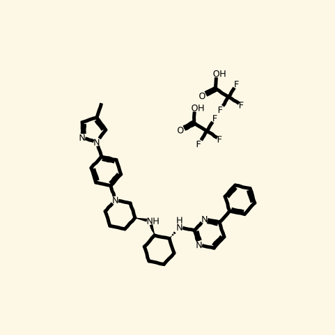 Cc1cnn(-c2ccc(N3CCC[C@H](N[C@@H]4CCCC[C@H]4Nc4nccc(-c5ccccc5)n4)C3)cc2)c1.O=C(O)C(F)(F)F.O=C(O)C(F)(F)F